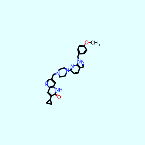 COc1ccc(Cn2ncc3ccc(N4CCN(Cc5cnc6cc(C7CC7)c(=O)[nH]c6c5)CC4)nc32)cc1